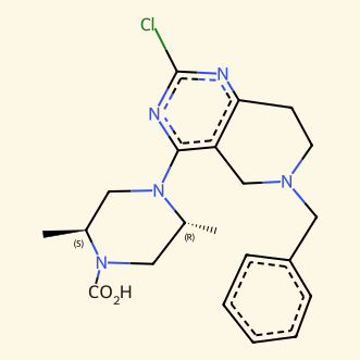 C[C@@H]1CN(C(=O)O)[C@@H](C)CN1c1nc(Cl)nc2c1CN(Cc1ccccc1)CC2